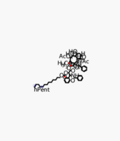 CCCCC/C=C\C/C=C\CCCCCCCCOC(=O)OC(C(=O)OC1C[C@@]2(O)[C@@H](OC(=O)c3ccccc3)[C@@H]3[C@]4(OC(C)=O)CO[C@@H]4C[C@H](O)[C@@]3(C)C(=O)[C@H](OC(C)=O)C(=C1C)C2(C)C)[C@@H](NC(=O)c1ccccc1)c1ccccc1